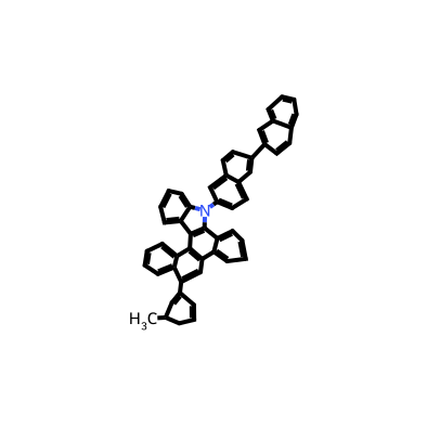 CC1C=C(c2cc3c4ccccc4c4c(c5ccccc5n4-c4ccc5cc(-c6ccc7ccccc7c6)ccc5c4)c3c3ccccc23)C=CC1